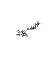 CNC(=S)Nc1ccc(NC(=S)NCCOCCOCCO[C@@H]2OC(CO)[C@H](O)C(O)C2NC(C)=O)cc1